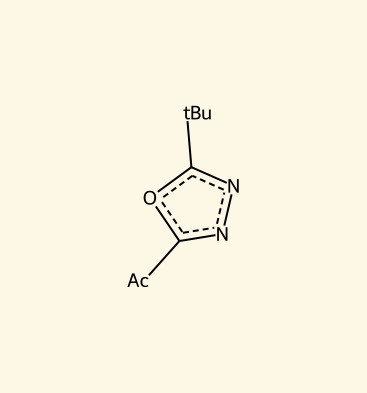 CC(=O)c1nnc(C(C)(C)C)o1